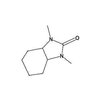 CN1C(=O)N(C)C2CCCCC21